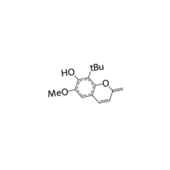 C=C1C=Cc2cc(OC)c(O)c(C(C)(C)C)c2O1